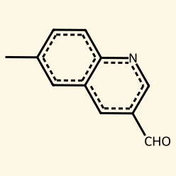 Cc1ccc2ncc(C=O)cc2c1